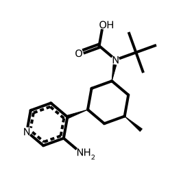 C[C@H]1C[C@@H](c2ccncc2N)C[C@@H](N(C(=O)O)C(C)(C)C)C1